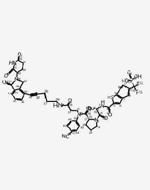 CC(C)(C)[C@H](NC(=O)c1cc2cc(C(F)(F)P(=O)(O)O)ccc2s1)C(=O)N1CCC[C@H]1C(=O)N(CCC(=O)NCCCC#Cc1cccc2c1CN(C1CCC(=O)NC1=O)C2=O)c1ccc(C#N)cc1